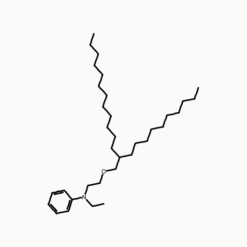 CCCCCCCCCCCCC(CCCCCCCCCC)COCCN(CC)c1ccccc1